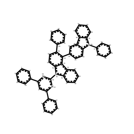 c1ccc(-c2cc(-c3ccccc3)nc(-n3c4ccccc4c4c(-c5ccc6c(c5)c5ccccc5n6-c5ccccc5)c(-c5ccccc5)ccc43)n2)cc1